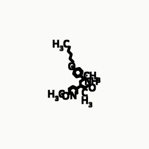 CCCCCCOc1ccc([C@]2(C)CC(c3ccc(OC)nc3)=C(C)C(=O)N2)cc1